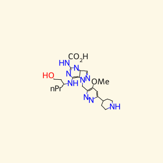 CCC[C@@H](CCO)Nc1nc(NC(=O)O)nc2cnn(Cc3nnc(C4CCNCC4)cc3OC)c12